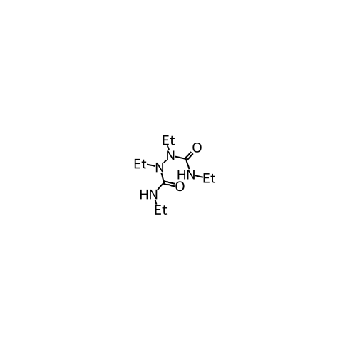 CCNC(=O)N(CC)N(CC)C(=O)NCC